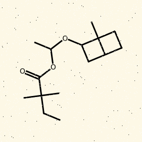 CCC(C)(C)C(=O)OC(C)OC1CC2CCC21C